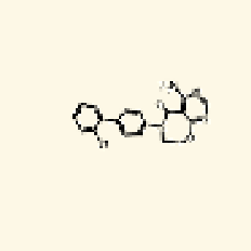 Nc1ncnc2c1C(=O)N(c1ccc(-c3ccccc3Cl)cc1)CCO2